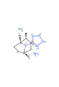 C[C@H]1C[C@H](N)[C@@H]2CC[C@H]1N2c1nnn[nH]1.Cl